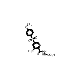 Nc1cc(S(=O)(=O)c2ccc(OC(F)(F)F)cc2)cnc1C(=O)NNC(=O)O